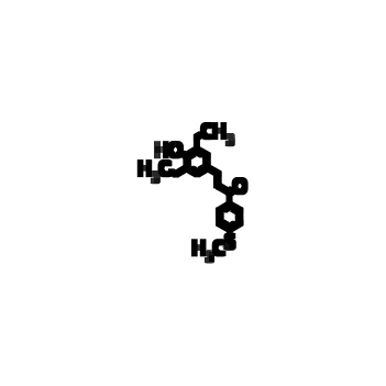 CCc1cc(C=CC(=O)c2ccc(SC)cc2)cc(CC)c1O